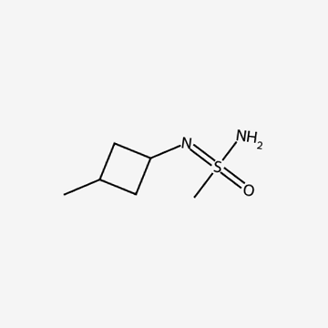 CC1CC(N=S(C)(N)=O)C1